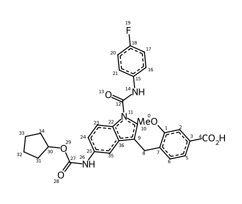 COc1cc(C(=O)O)ccc1Cc1cn(C(=O)Nc2ccc(F)cc2)c2ccc(NC(=O)OC3CCCC3)cc12